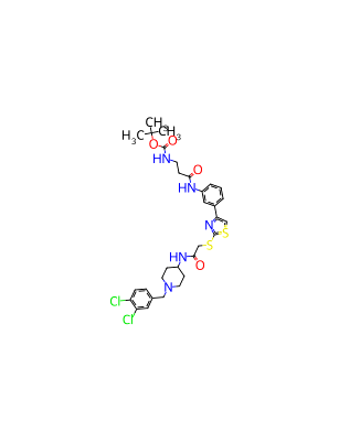 CC(C)(C)OC(=O)NCCC(=O)Nc1cccc(-c2csc(SCC(=O)NC3CCN(Cc4ccc(Cl)c(Cl)c4)CC3)n2)c1